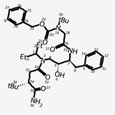 CCC(CC)N(C[C@@H](O)[C@H](Cc1ccccc1)NC(=O)CN(C(=O)OCc1ccccc1)C(C)(C)C)C(=O)C[C@H](C(N)=O)C(C)(C)C